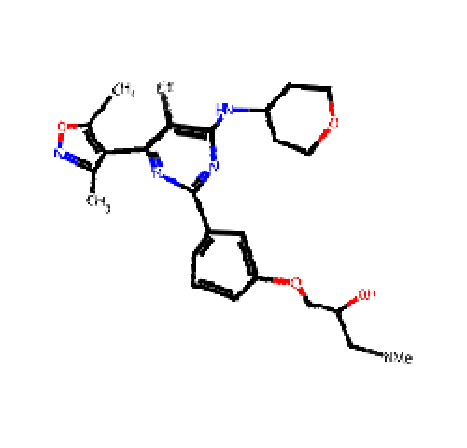 CCc1c(NC2CCOCC2)nc(-c2cccc(OCC(O)CNC)c2)nc1-c1c(C)noc1C